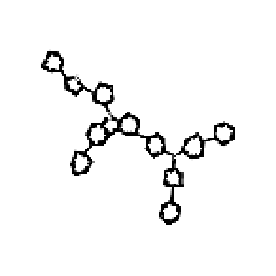 c1ccc(-c2ccc(N(c3ccc(-c4ccccc4)cc3)c3ccc(-c4ccc5c(c4)c4cc(-c6ccccc6)ccc4n5-c4cccc(-c5ccc(-c6ccccc6)s5)c4)cc3)cc2)cc1